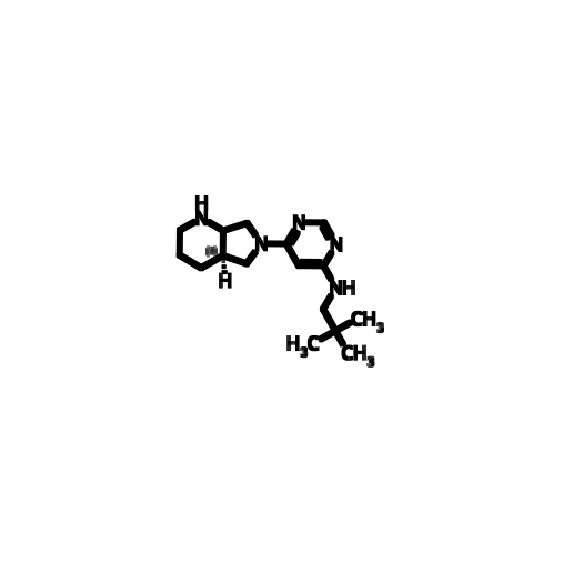 CC(C)(C)CNc1cc(N2CC3NCCC[C@@H]3C2)ncn1